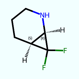 FC1(F)[C@@H]2NCCC[C@@H]21